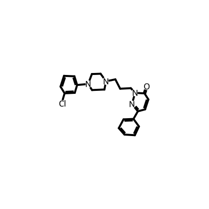 O=c1ccc(-c2ccccc2)nn1CCCN1CCN(c2cccc(Cl)c2)CC1